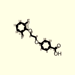 O=C(O)c1ccc(OCCOc2c(F)cccc2F)cc1